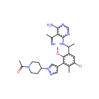 COc1c(C(C)Nc2ncnc(N)c2C(C)=N)cc(Cl)c(C)c1-c1cnn(C2CCN(C(C)=O)CC2)c1